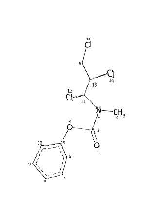 CN(C(=O)Oc1ccccc1)C(Cl)C(Cl)CCl